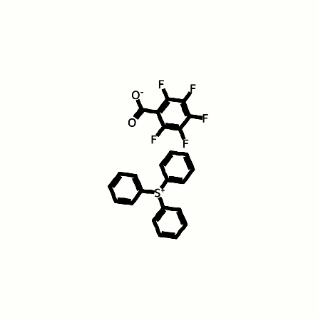 O=C([O-])c1c(F)c(F)c(F)c(F)c1F.c1ccc([S+](c2ccccc2)c2ccccc2)cc1